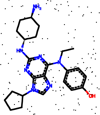 CCN(c1ccc(O)cc1)c1nc(N[C@H]2CC[C@H](N)CC2)nc2c1ncn2C1CCCC1